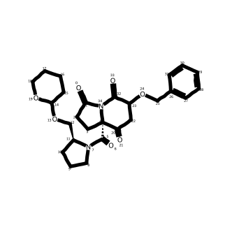 O=C1CC[C@]2(C(=O)N3CCC[C@H]3COC3CCCCO3)C(=O)CC(OCc3ccccc3)C(=O)N12